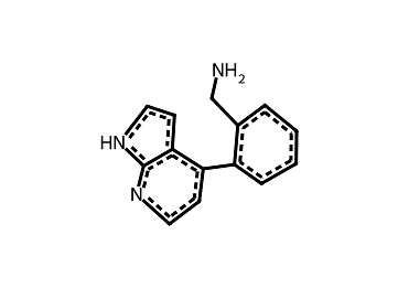 NCc1ccccc1-c1ccnc2[nH]ccc12